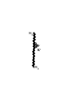 CCCCCCCCCCCCCCCCC(CCCCCCCCC)S(=O)(=O)[O-].[K+]